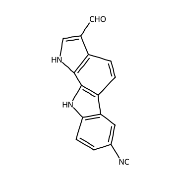 [C-]#[N+]c1ccc2[nH]c3c(ccc4c(C=O)c[nH]c43)c2c1